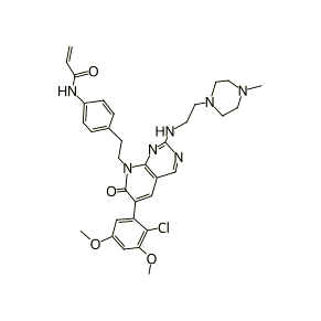 C=CC(=O)Nc1ccc(CCn2c(=O)c(-c3cc(OC)cc(OC)c3Cl)cc3cnc(NCCN4CCN(C)CC4)nc32)cc1